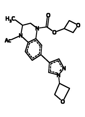 CC(=O)N1c2ccc(-c3cnn(C4COC4)c3)cc2N(C(=O)OC2COC2)CC1C